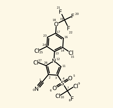 N#Cc1c(S(=O)(=O)C(F)(Cl)Cl)cn(-c2c(Cl)cc(OC(F)(F)F)cc2Cl)c1Cl